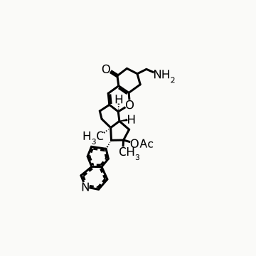 CC(=O)OC1(C)C[C@H]2[C@@H]3OC4=C(C=C3CC[C@]2(C)[C@H]1c1ccc2cnccc2c1)C(=O)CC(CN)C4